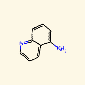 Nc1cccc2n[c]ccc12